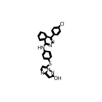 Oc1cc2nccc(Sc3ccc(Nc4nnc(-c5ccc(Cl)cc5)c5ccccc45)cc3)n2n1